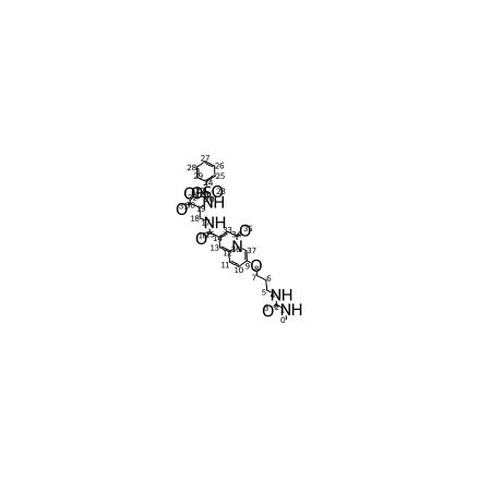 CNC(=O)NCCCOc1ccc2cc(C(=O)NCC(NS(=O)(=O)c3ccccc3)C(=O)O)cc(=O)n2c1